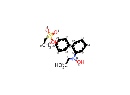 CCS(=O)(=O)O.O=C(O)CN(O)c1ccccc1.c1ccccc1